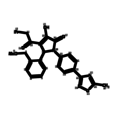 COCc1ccccc1C1C(C(=O)CC(C)C)=C(O)C(=O)N1c1ccc(-c2noc(C)n2)cc1